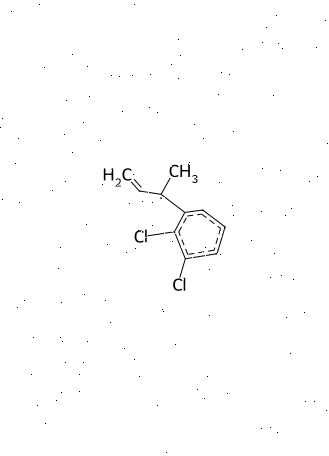 C=C[C](C)c1cccc(Cl)c1Cl